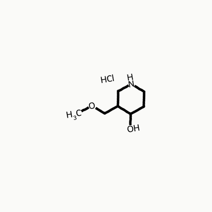 COCC1CNCCC1O.Cl